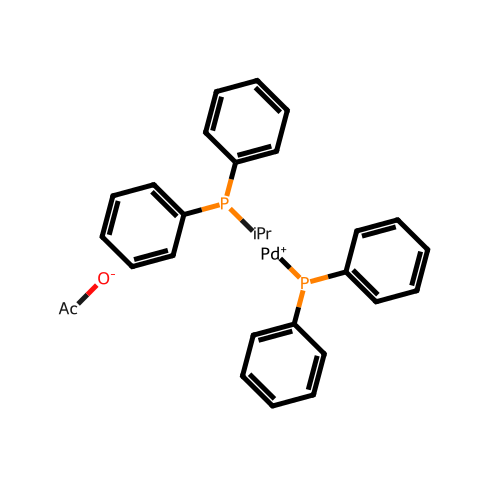 CC(=O)[O-].CC(C)P(c1ccccc1)c1ccccc1.[Pd+][P](c1ccccc1)c1ccccc1